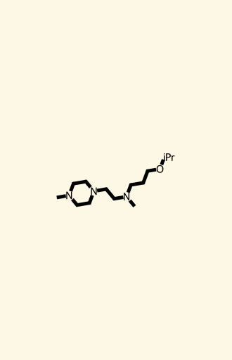 CC(C)OCCCN(C)CCN1CCN(C)CC1